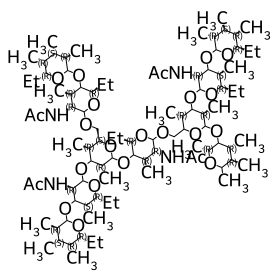 CC[C@H]1OC(OCC2OC(OC3[C@@H](C)OC(C)[C@H](C)[C@H]3C)[C@H](C)C(OC3O[C@H](CC)[C@H](C)C(OC4O[C@H](CC)[C@H](C)[C@H](C)[C@H]4C)[C@H]3NC(C)=O)[C@H]2C)[C@H](NC(C)=O)[C@@H](C)C1OC1O[C@H](COC2O[C@H](CC)C(OC3O[C@H](CC)[C@H](C)[C@H](C)[C@H]3C)[C@H](C)[C@H]2NC(C)=O)[C@H](C)C(OC2O[C@H](CC)[C@H](C)C(OC3O[C@H](CC)[C@H](C)[C@H](C)[C@H]3C)[C@H]2NC(C)=O)[C@H]1C